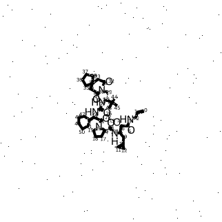 C=CCNC(=O)C(=O)C(CC1CC1)NC(=O)[C@@H]1CCCN1C(=O)[C@@H](NC(=O)N[C@H](CN1C(=O)CC2(CCCC2)CC1=O)C(C)(C)C)C1CCCCC1